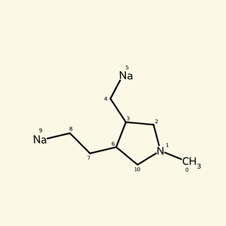 CN1CC([CH2][Na])C(C[CH2][Na])C1